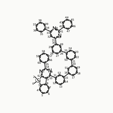 C[Si]1(C)c2ccccc2-c2c(-c3cccc(-c4cccc(-c5cccc(-c6cccc(-c7cc(-c8ccccc8)nc(-c8ccccc8)n7)c6)c5)c4)c3)nc(-c3ccccc3)nc21